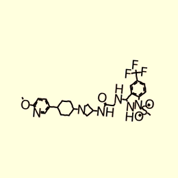 COc1ccc(C2CCC(N3CC(NC(=O)CNC4NN(S(C)(=O)=O)c5ccc(C(F)(F)F)cc54)C3)CC2)cn1